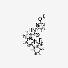 CCOc1nccc(NC(=O)c2cnc3ccc(-c4ccccc4C(F)(F)F)nn23)n1